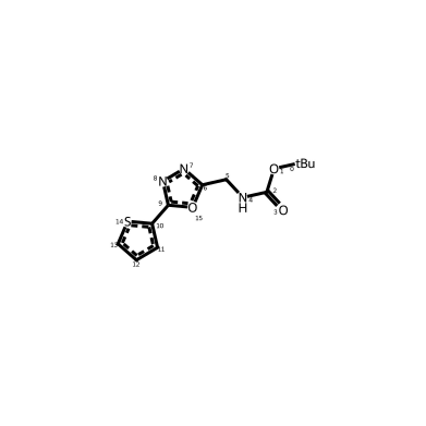 CC(C)(C)OC(=O)NCc1nnc(-c2cccs2)o1